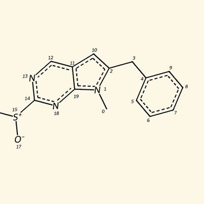 Cn1c(Cc2ccccc2)cc2cnc([S+](C)[O-])nc21